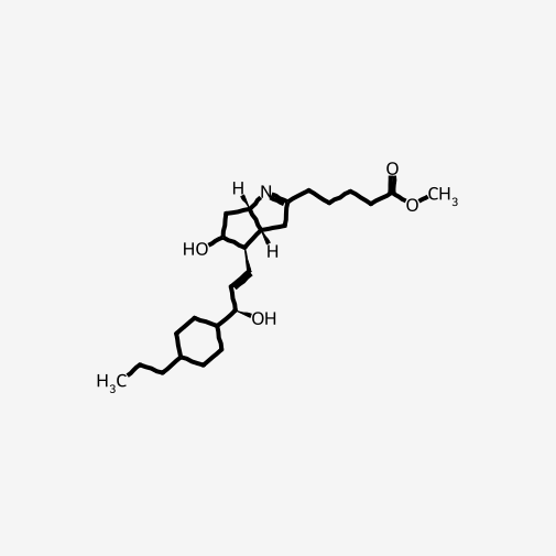 CCCC1CCC([C@H](O)/C=C/[C@H]2C(O)C[C@@H]3N=C(CCCCC(=O)OC)C[C@@H]32)CC1